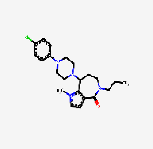 CCCN1CCC(N2CCN(c3ccc(Cl)cc3)CC2)c2c(ccn2C)C1=O